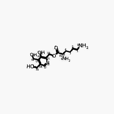 NCCCC[C@H](N)C(=O)OCc1ncc(CO)c(CO)c1O